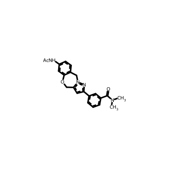 CC(=O)Nc1ccc2c(c1)OCc1cc(-c3cccc(C(=O)N(C)C)c3)nn1C2